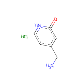 Cl.NCc1cc[nH]c(=O)c1